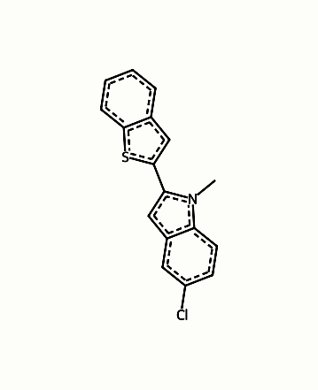 Cn1c(-c2cc3ccccc3s2)cc2cc(Cl)ccc21